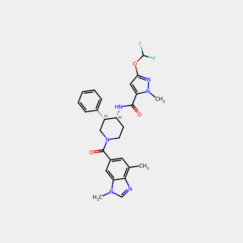 Cc1cc(C(=O)N2CC[C@@H](NC(=O)c3cc(OC(F)F)nn3C)[C@@H](c3ccccc3)C2)cc2c1ncn2C